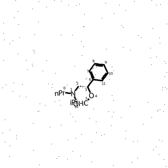 CCCN(C[C@@H](OC=O)c1ccccc1)C(C)C